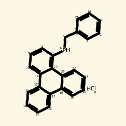 Cl.c1ccc(CPc2cccc3c4ccccc4c4ccccc4c23)cc1